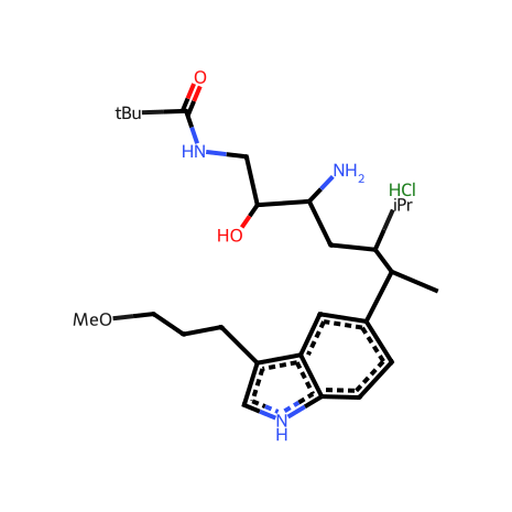 COCCCc1c[nH]c2ccc(C(C)C(CC(N)C(O)CNC(=O)C(C)(C)C)C(C)C)cc12.Cl